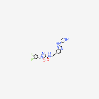 O=C(NCC#Cc1ccc2ncc(NC3CCNCC3)nc2c1)c1cncn(Cc2ccc(F)c(F)c2)c1=O